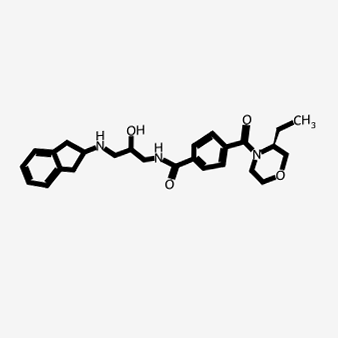 CC[C@H]1COCCN1C(=O)c1ccc(C(=O)NCC(O)CNC2Cc3ccccc3C2)cc1